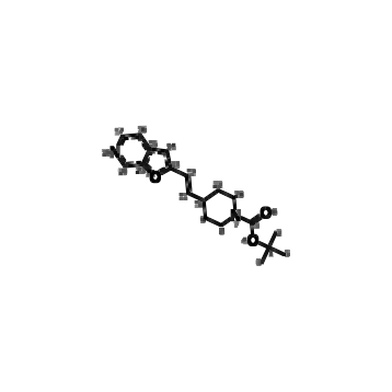 CC(C)(C)OC(=O)N1CCC(C=Cc2cc3ccncc3o2)CC1